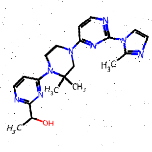 Cc1nccn1-c1nccc(N2CCN(c3ccnc(C(C)O)n3)C(C)(C)C2)n1